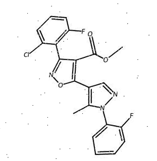 COC(=O)c1c(-c2c(F)cccc2Cl)noc1-c1cnn(-c2ccccc2F)c1C